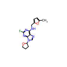 Cc1ccc(CNc2nc(F)nc3c2ncn3C2CCCO2)o1